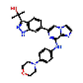 CC(C)(O)c1n[nH]c2cc(-c3cn4ccnc4c(Nc4ccc(N5CCOCC5)cc4)n3)ccc12